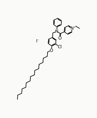 CCCCCCCCCCCCCCCCOc1ccc(CN(C(=O)c2cc[n+](CC)cc2)c2ccccc2)cc1Cl.[I-]